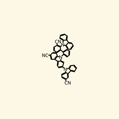 N#Cc1ccc2c(c1)c1ccccc1n2-c1ccc2c3cc(C#N)ccc3n(-c3ccccc3-c3cccc(C#N)c3-n3c4ccccc4c4ccccc43)c2c1